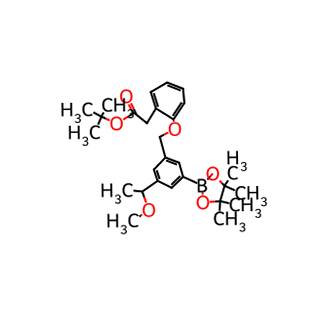 COC(C)c1cc(COc2ccccc2CC(=O)OC(C)(C)C)cc(B2OC(C)(C)C(C)(C)O2)c1